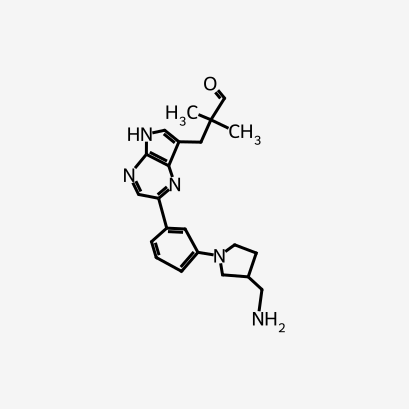 CC(C)(C=O)Cc1c[nH]c2ncc(-c3cccc(N4CCC(CN)C4)c3)nc12